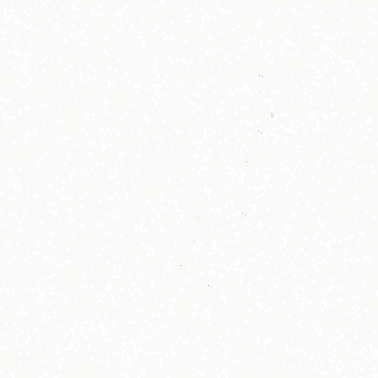 C=N/C=N\C=C(\C(=C)c1cn(Cc2ccc(N/C=C\C=N)nc2)c2c1C=C(F)CC2)C1CCC(CCS)C1